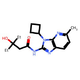 CCC(O)(CC)CC(=O)Nc1nc2ccc(C)nc2n1C1CCC1